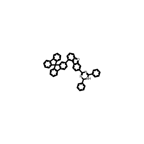 c1ccc(C2=NC(c3ccc4c(c3)oc3cccc(-c5ccc6c(c5)C5(c7ccccc7-c7ccccc75)c5ccccc5-6)c34)=NC(c3ccccc3)N2)cc1